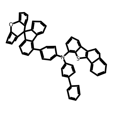 c1ccc(-c2ccc(N(c3ccc(-c4cccc5c4-c4ccccc4C54c5ccccc5Oc5ccccc54)cc3)c3cccc4c3sc3c5ccccc5ccc43)cc2)cc1